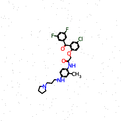 Cc1cc(NCCCN2CCCC2)ccc1NC(=O)COc1ccc(Cl)cc1C(=O)c1cc(F)cc(F)c1